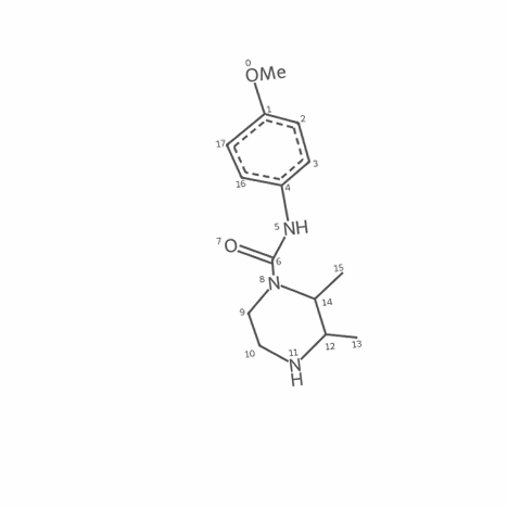 COc1ccc(NC(=O)N2CCNC(C)C2C)cc1